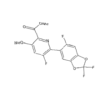 COC(=O)c1nc(-c2cc3c(cc2F)OC(F)(F)O3)c(F)cc1OC